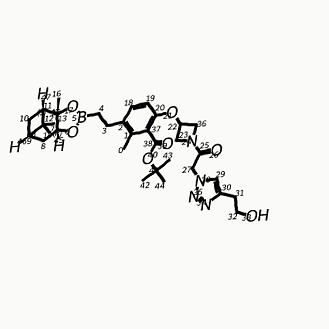 Cc1c(CCB2O[C@@H]3C[C@@H]4C[C@@H](C4(C)C)[C@]3(C)O2)ccc(OC2CN(C(=O)Cn3cc(CCO)nn3)C2)c1C(=O)OC(C)(C)C